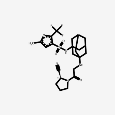 Cc1cc(S(=O)(=O)NC23CC4CC(CC(NCC(=O)N5CCC[C@H]5C#N)(C4)C2)C3)c(C(F)(F)F)o1